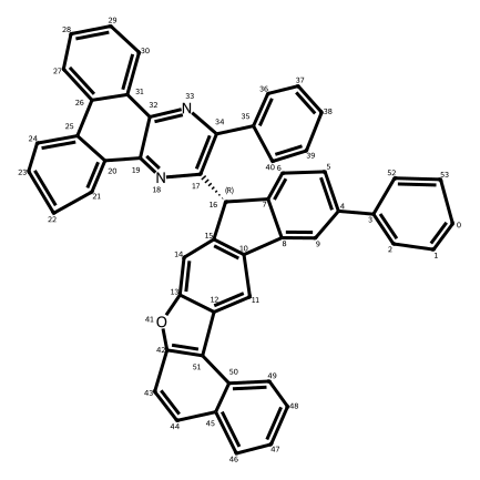 c1ccc(-c2ccc3c(c2)-c2cc4c(cc2[C@@H]3c2nc3c5ccccc5c5ccccc5c3nc2-c2ccccc2)oc2ccc3ccccc3c24)cc1